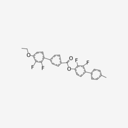 CCOc1ccc(-c2ccc(C(=O)Oc3ccc(-c4ccc(C)cc4)c(F)c3F)cc2)c(F)c1F